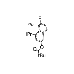 C#Cc1c(F)ccc2cc(OC(=O)C(C)(C)C)cc(C(C)C)c12